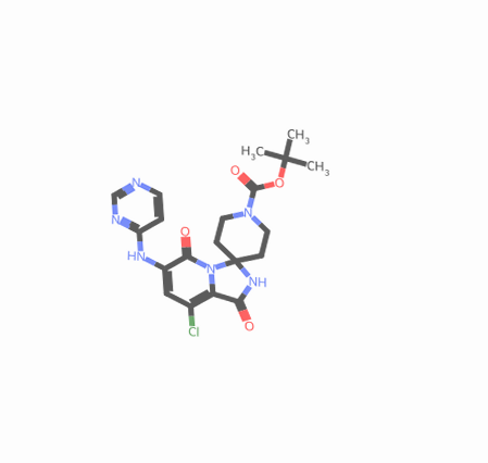 CC(C)(C)OC(=O)N1CCC2(CC1)NC(=O)c1c(Cl)cc(Nc3ccncn3)c(=O)n12